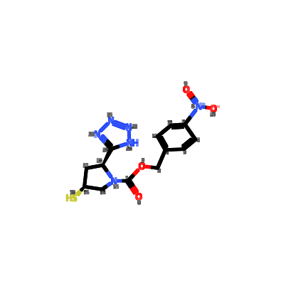 O=C(OCc1ccc([N+](=O)[O-])cc1)N1C[C@@H](S)C[C@H]1c1nnn[nH]1